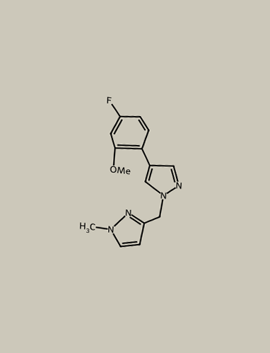 COc1cc(F)ccc1-c1cnn(Cc2ccn(C)n2)c1